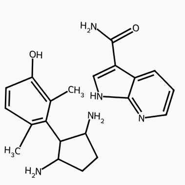 Cc1ccc(O)c(C)c1C1C(N)CCC1N.NC(=O)c1c[nH]c2ncccc12